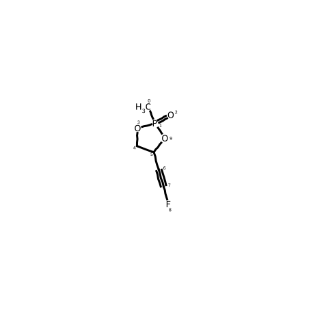 CP1(=O)OCC(C#CF)O1